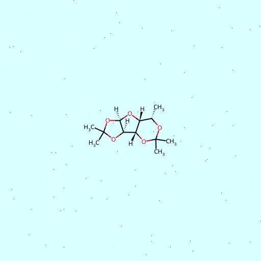 C[C@@H]1OC(C)(C)O[C@@H]2[C@H]3OC(C)(C)O[C@H]3O[C@@H]21